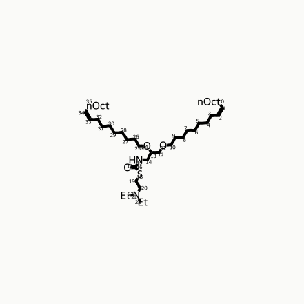 CCCCCCCC/C=C\CCCCCCCCOCC(CNC(=O)SCCN(CC)CC)OCCCCCCCC/C=C\CCCCCCCC